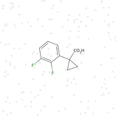 O=C(O)C1(c2cccc(F)c2F)CC1